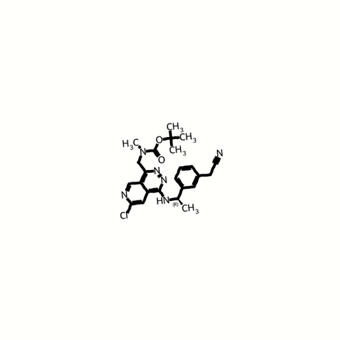 C[C@@H](Nc1nnc(CN(C)C(=O)OC(C)(C)C)c2cnc(Cl)cc12)c1cccc(CC#N)c1